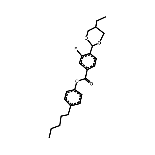 CCCCCc1ccc(OC(=O)c2ccc(C3OCC(CC)CO3)c(F)c2)cc1